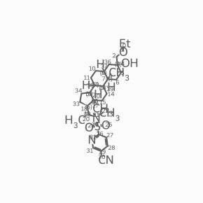 CCOC[C@@]1(O)CC[C@@]2(C)[C@H](CC[C@@H]3[C@@H]2CC[C@]2(C)[C@@H]([C@@H](C)N(C)S(=O)(=O)c4ccc(C#N)cn4)CC[C@@H]32)C1